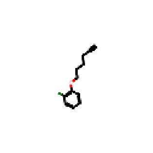 C#CCCCCOc1ccc[c]c1F